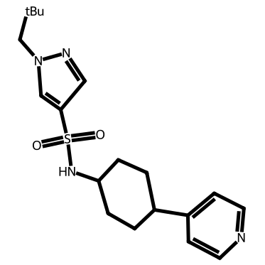 CC(C)(C)Cn1cc(S(=O)(=O)NC2CCC(c3ccncc3)CC2)cn1